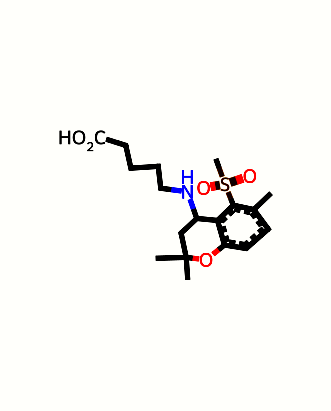 Cc1ccc2c(c1S(C)(=O)=O)C(NCCCCC(=O)O)CC(C)(C)O2